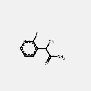 NC(=O)C(O)c1cccnc1F